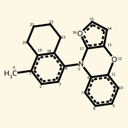 Cc1ccc(N2c3ccccc3Oc3ccoc32)c2c1CCCC2